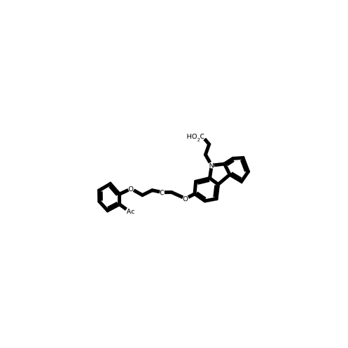 CC(=O)c1ccccc1OCCCCOc1ccc2c3ccccc3n(CCC(=O)O)c2c1